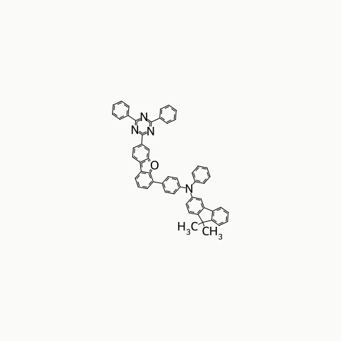 CC1(C)c2ccccc2-c2cc(N(c3ccccc3)c3ccc(-c4cccc5c4oc4cc(-c6nc(-c7ccccc7)nc(-c7ccccc7)n6)ccc45)cc3)ccc21